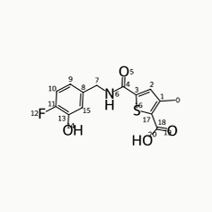 Cc1cc(C(=O)NCc2ccc(F)c(O)c2)sc1C(=O)O